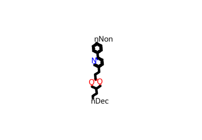 CCCCCCCCCCCCC1COC(CCc2ccc(-c3ccc(CCCCCCCCC)cc3)nc2)OC1